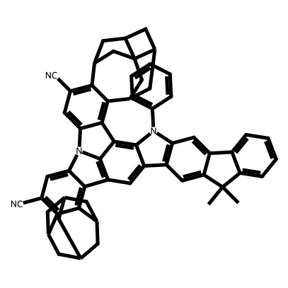 CC1(C)c2ccccc2-c2cc3c(cc21)c1cc2c4c5c(c(C#N)cc4n4c6cc(C#N)c7c(c6c(c1n3-c1ccccc1)c24)C1CC2CC3CC7CC32C1)C1CC2CC(C1)CC5C2